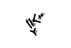 CCCCCCCC[N+](C)(C)[O-].CCCCCCC[N+](C)(C)[O-].CCCCCCC[N+](C)([O-])CCCCCCC.CCCC[N+]([O-])(CCCC)CCCC.CC[N+](C)(C)[O-].C[N+](C)(C)[O-]